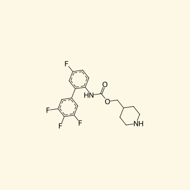 O=C(Nc1ccc(F)cc1-c1cc(F)c(F)c(F)c1)OCC1CCNCC1